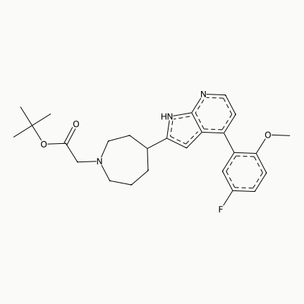 COc1ccc(F)cc1-c1ccnc2[nH]c(C3CCCN(CC(=O)OC(C)(C)C)CC3)cc12